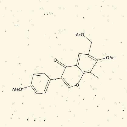 COc1ccc(-c2coc3c(C)c(OC(C)=O)c(COC(C)=O)cc3c2=O)cc1